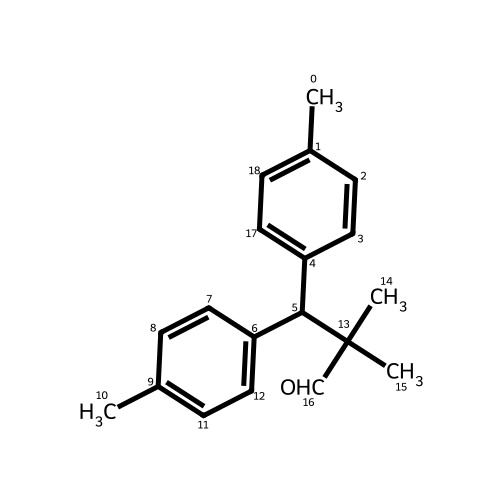 Cc1ccc(C(c2ccc(C)cc2)C(C)(C)C=O)cc1